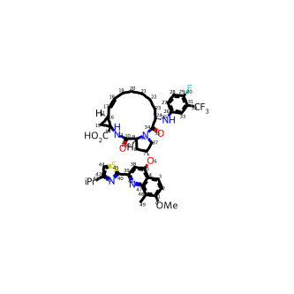 COc1ccc2c(O[C@@H]3C[C@H]4C(=O)N[C@]5(C(=O)O)C[C@H]5/C=C\CCCCC[C@H](Nc5ccc(F)c(C(F)(F)F)c5)C(=O)N4C3)cc(-c3nc(C(C)C)cs3)nc2c1C